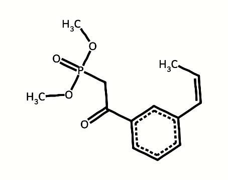 C/C=C\c1cccc(C(=O)CP(=O)(OC)OC)c1